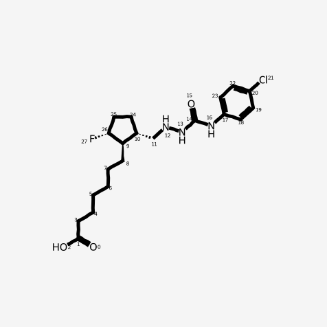 O=C(O)CCCCCC[C@@H]1[C@@H](CNNC(=O)Nc2ccc(Cl)cc2)CC[C@H]1F